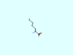 Cl.NCCCCC(N)C(=O)O.[Zn]